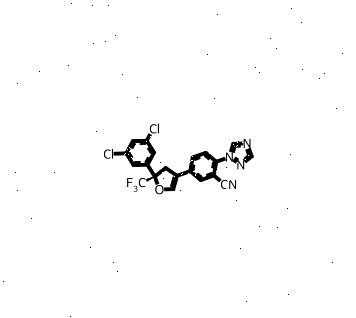 N#Cc1cc(C2=CO[C@@](c3cc(Cl)cc(Cl)c3)(C(F)(F)F)C2)ccc1-n1cncn1